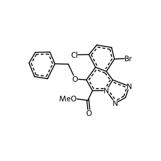 COC(=O)c1c(OCc2ccccc2)c2c(Cl)ccc(Br)c2c2ncnn12